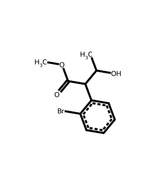 COC(=O)C(c1ccccc1Br)C(C)O